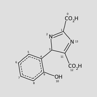 O=C(O)C1=NC(c2ccccc2O)C(C(=O)O)=N1